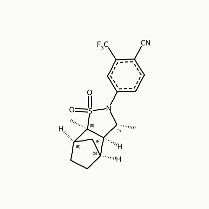 C[C@@H]1[C@H]2[C@H]3CC[C@H](C3)[C@@]2(C)S(=O)(=O)N1c1ccc(C#N)c(C(F)(F)F)c1